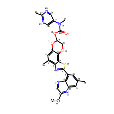 COc1cnc2c(-c3nc4c(C)cc5c(c4s3)OCC(OC(=O)N(C)c3cnc(C)nc3)O5)cc(C)cc2n1